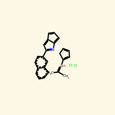 C1=CC2=CC(c3ccc4ccccc4c3)=NC2=C1.C[C](C)=[Zr+2][C]1=CC=CC1.[Cl-].[Cl-]